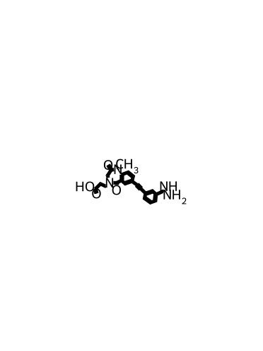 CN1C(=O)CN(CCC(=O)O)C(=O)c2cc(C#Cc3cccc(C(=N)N)c3)ccc21